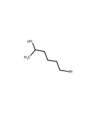 [CH2]C(C)CCCCC(C)CCC